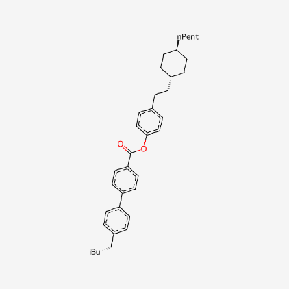 CCCCC[C@H]1CC[C@H](CCc2ccc(OC(=O)c3ccc(-c4ccc(C[C@@H](C)CC)cc4)cc3)cc2)CC1